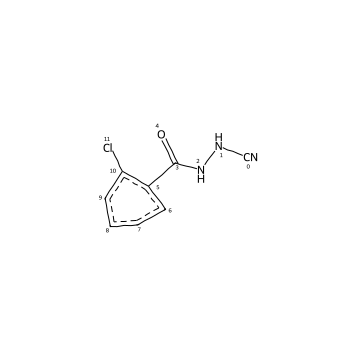 N#CNNC(=O)c1ccccc1Cl